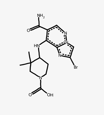 CC1(C)CN(C(=O)O)CCC1Nc1c(C(N)=O)cnn2cc(Br)nc12